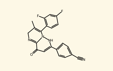 CC1=C(c2ccc(F)cc2F)N2NC(c3ccc(C#N)cc3)=CC(=O)C2=NC1